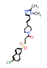 Cc1ncc(C=CC2CCN(C(=O)CCS(=O)(=O)c3ccc4cc(Cl)ccc4c3)CC2)n1C